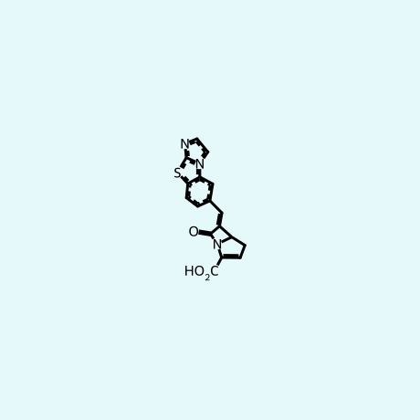 O=C(O)C1=CCC2C(=Cc3ccc4sc5nccn5c4c3)C(=O)N12